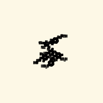 CCc1cc(C)c(SOOO)c(CC)c1Nc1nc(N(c2nc3ccc(S(=O)(=O)O)cc3s2)c2c(CC)cc(C)c(S(=O)(=O)O)c2CC)cc(C)c1N=Nc1c(C#N)c(C(C)(C)C)nn1-c1nc2ccc(SOOO)cc2s1